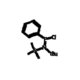 CC(C)(C)N(P(Cl)c1ccccc1)S(C)(C)C